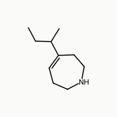 CCC(C)C1=CCCNCC1